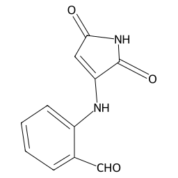 O=Cc1ccccc1NC1=CC(=O)NC1=O